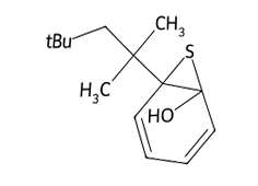 CC(C)(C)CC(C)(C)C12C=CC=CC1(O)S2